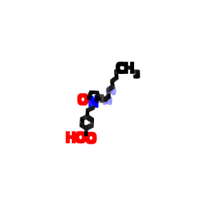 CCCC/C=C/C=C\[C@H]1CCC(=O)N1CCc1ccc(C(=O)O)cc1